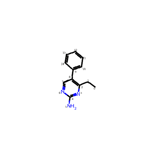 CCc1nc(N)ncc1-c1ccccc1